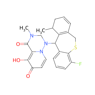 CC1CC=CC2=C1C(N1CN(C)C(=O)c3c(O)c(=O)ccn31)c1cccc(F)c1SC2